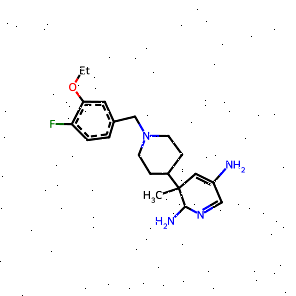 CCOc1cc(CN2CCC(C3(C)C=C(N)C=NC3N)CC2)ccc1F